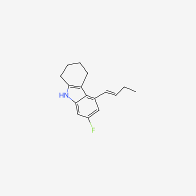 CC/C=C/c1cc(F)cc2[nH]c3c(c12)CCCC3